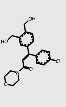 O=C(/C=C(\c1ccc(Cl)cc1)c1ccc(CO)c(CO)c1)N1CCOCC1